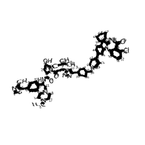 Cc1ncsc1-c1ccc([C@H](CN2CCN(C)CC2)NC(=O)[C@@H]2C[C@@H](O)CN2C(=O)[C@@H](n2cc(C3CCC(CN4CCC(c5ccc6c(c5)-n5c(nc(=O)c7c(Cl)cccc75)C65CCCCC5)CC4)CC3)nn2)C(C)(C)C)cc1